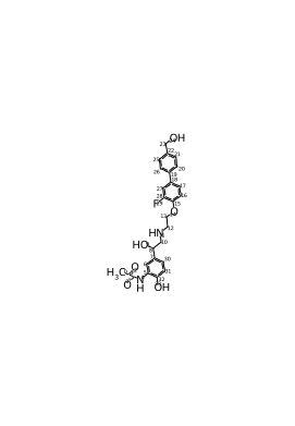 CS(=O)(=O)Nc1cc([C@@H](O)CNCCOc2ccc(-c3ccc(CO)cc3)cc2F)ccc1O